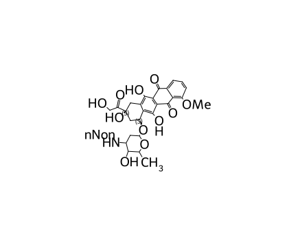 CCCCCCCCCNC1CC(O[C@H]2C[C@](O)(C(=O)CO)Cc3c(O)c4c(c(O)c32)C(=O)c2c(OC)cccc2C4=O)OC(C)C1O